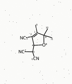 CC1=C(C#N)C(C(C#N)C#N)OC1(C)C